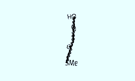 CSCSCSCSCSC(=O)CSCSCSCSCCOOCSCSCO